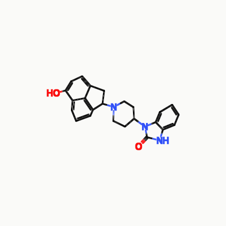 O=c1[nH]c2ccccc2n1C1CCN(C2Cc3ccc(O)c4cccc2c34)CC1